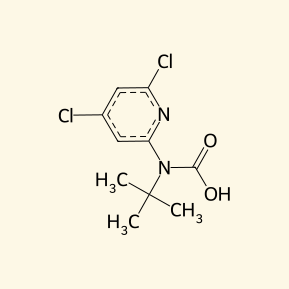 CC(C)(C)N(C(=O)O)c1cc(Cl)cc(Cl)n1